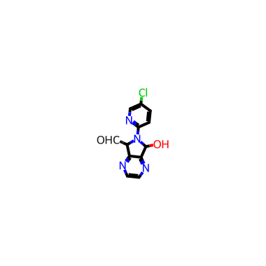 O=CC1c2nccnc2C(O)N1c1ccc(Cl)cn1